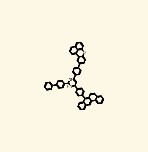 NC(NC(/C=C/c1ccc(-c2ccc3c(c2)-c2cccc4cccc(c24)O3)cc1)c1ccc(-c2c3ccccc3cc3c2ccc2ccccc23)cc1)c1ccc(-c2ccccc2)cc1